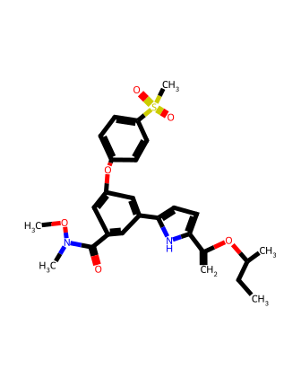 C=C(OC(C)CC)c1ccc(-c2cc(Oc3ccc(S(C)(=O)=O)cc3)cc(C(=O)N(C)OC)c2)[nH]1